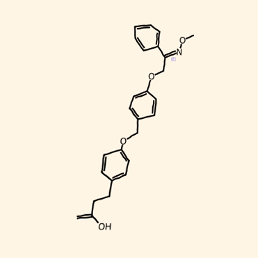 C=C(O)CCc1ccc(OCc2ccc(OC/C(=N/OC)c3ccccc3)cc2)cc1